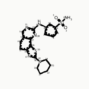 NS(=O)(=O)c1cccc(Nc2ncc3ccc4nc(N5CCCCC5)sc4c3n2)c1